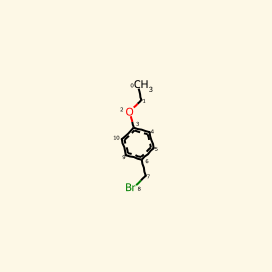 CCOc1ccc(CBr)cc1